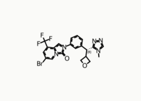 Cn1cnnc1[C@@H](c1cccc(-n2cc3c(C(F)(F)F)cc(Br)cn3c2=O)c1)C1COC1